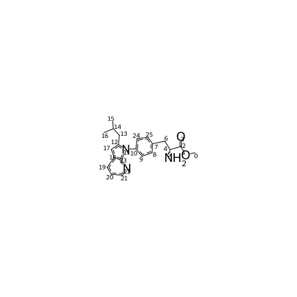 COC(=O)C(N)Cc1ccc(-n2c(CC(C)C)cc3cccnc32)cc1